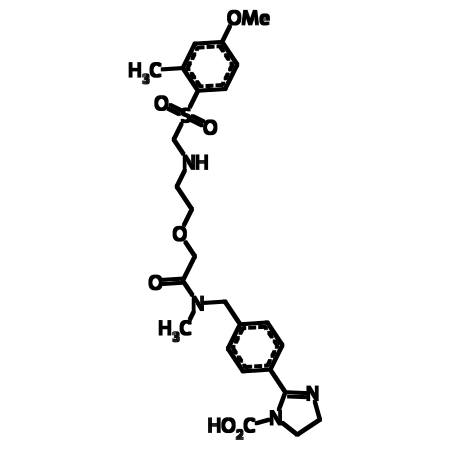 COc1ccc(S(=O)(=O)CNCCOCC(=O)N(C)Cc2ccc(C3=NCCN3C(=O)O)cc2)c(C)c1